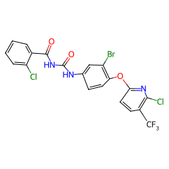 O=C(NC(=O)c1ccccc1Cl)Nc1ccc(Oc2ccc(C(F)(F)F)c(Cl)n2)c(Br)c1